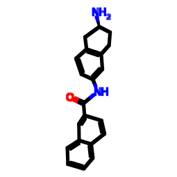 N[C@H]1CCc2cc(NC(=O)c3ccc4ccccc4c3)ccc2C1